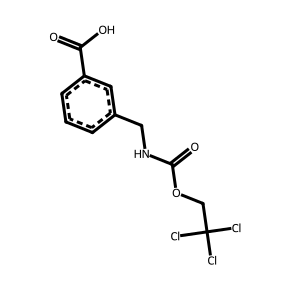 O=C(NCc1cccc(C(=O)O)c1)OCC(Cl)(Cl)Cl